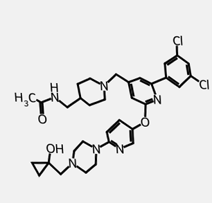 CC(=O)NCC1CCN(Cc2cc(Oc3ccc(N4CCN(CC5(O)CC5)CC4)nc3)nc(-c3cc(Cl)cc(Cl)c3)c2)CC1